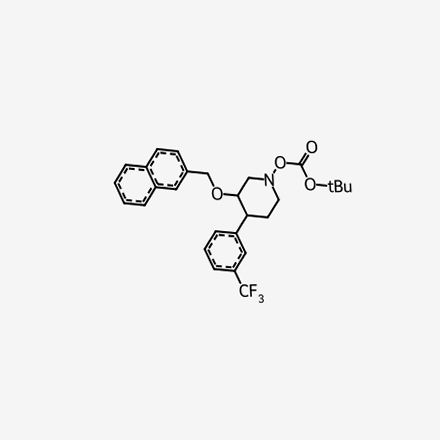 CC(C)(C)OC(=O)ON1CCC(c2cccc(C(F)(F)F)c2)C(OCc2ccc3ccccc3c2)C1